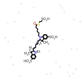 CC[N+]1=C(/C=C/C=C/C=C2/N(CCCCCC(=O)SCCS(=O)(=O)O)c3ccc(S(=O)(=O)O)cc3C2(C)C)C(C)(C)c2cc(S(=O)(=O)O)ccc21